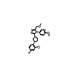 COCc1nnc(N2CCC(c3ccc(F)cc3Cl)C2)n1-c1ccc(OC)nc1